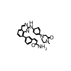 CN1CCN(c2ccc(Nc3ncc4cccc(-c5cccc(C=CC(N)=O)c5)c4n3)cc2)CC1=O